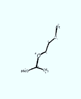 [CH2]COCCOC(C)OC